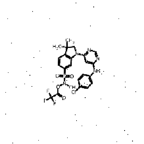 CN(OC(=O)C(F)(F)F)S(=O)(=O)c1ccc2c(c1)N(c1cc(Nc3ccc(Cl)cc3)ncn1)CC2(C)C